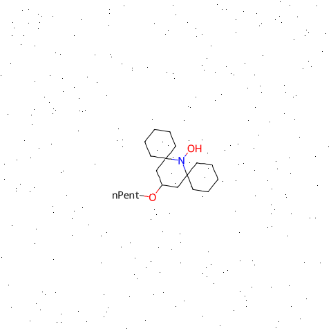 CCCCCOC1CC2(CCCCC2)N(O)C2(CCCCC2)C1